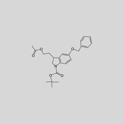 CC(=O)OCCC1CN(C(=O)OC(C)(C)C)c2ccc(OCc3ccccc3)cc21